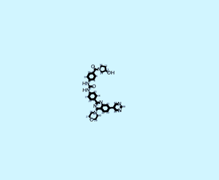 O=C(Nc1ccc(C(=O)N2CCC(O)C2)cc1)Nc1ccc(-c2nc(N3CCOCC3)c3ccc(-c4cncnc4)cc3n2)cc1